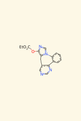 CCOC(=O)Oc1ncn2c1Cc1cncnc1-c1ccccc1-2